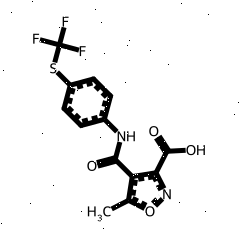 Cc1onc(C(=O)O)c1C(=O)Nc1ccc(SC(F)(F)F)cc1